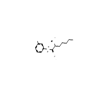 CCCCCC(C(=[N+]=[N-])S(=O)(=O)c1cccc(F)c1)[SH](=O)=O